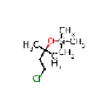 CC(C)(CCCl)O[Si](C)(C)C